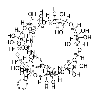 O=C1NC[C@H]2O[C@@H]3O[C@H]4C(O)C(O)[C@H](O[C@@H]4CO)O[C@H]4C(O)C(O)[C@H](O[C@@H]4CO)O[C@H]4C(O)C(O)[C@H](O[C@@H]4CNC(=O)Nc4cc(NCc5ccccc5)cc(c4)N1)O[C@H]1C(O)C(O)[C@H](O[C@@H]1CO)O[C@H]1C(O)C(O)[C@H](O[C@@H]1CO)O[C@H]1C(O)C(O)[C@H](O[C@@H]1CO)O[C@H]2C(O)C3O